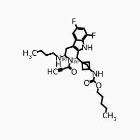 C#CC(=O)N1[C@@H](NCCCC)Cc2c([nH]c3c(F)cc(F)cc23)[C@@H]1C12CC(NC(=O)OCCCCC)(C1)C2